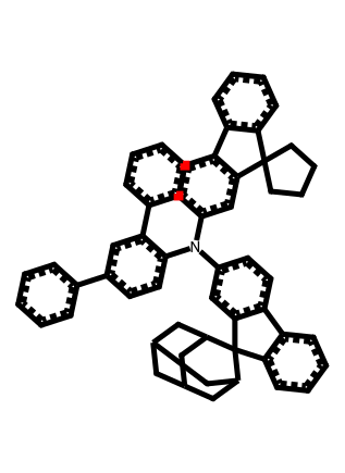 c1ccc(-c2ccc(N(c3ccc4c(c3)C3(CCCC3)c3ccccc3-4)c3ccc4c(c3)C3(c5ccccc5-4)C4CC5CC(C4)CC3C5)c(-c3ccccc3)c2)cc1